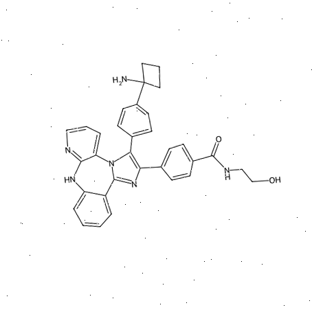 NC1(c2ccc(-c3c(-c4ccc(C(=O)NCCO)cc4)nc4n3-c3cccnc3Nc3ccccc3-4)cc2)CCC1